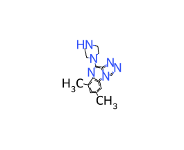 Cc1cc(C)c2nc(N3CCNCC3)c3nncn3c2c1